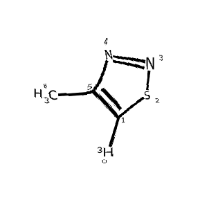 [3H]c1snnc1C